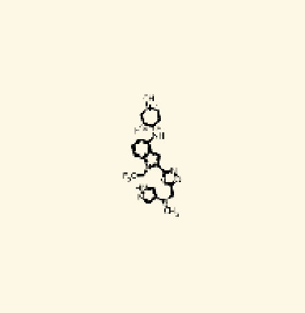 CN1CC[C@H](Nc2cccc3c2cc(-c2noc(CN(C)c4cn[nH]c4)n2)n3CC(F)(F)F)[C@H](F)C1